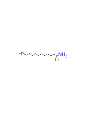 NC(=O)CCCCCCCCCCS